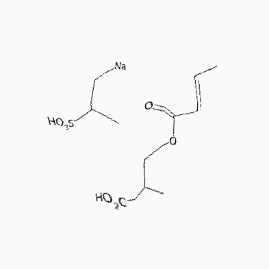 CC([CH2][Na])S(=O)(=O)O.CC=CC(=O)OCC(C)C(=O)O